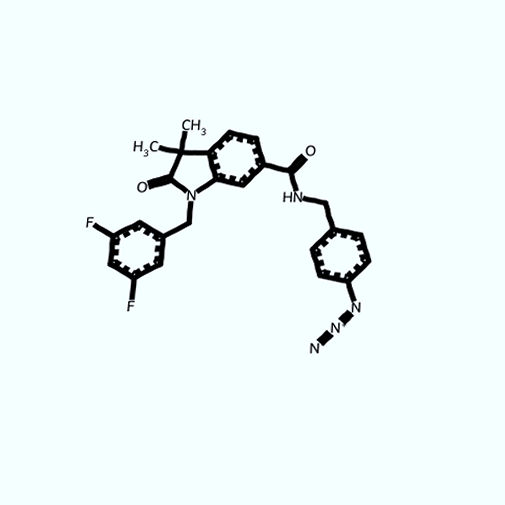 CC1(C)C(=O)N(Cc2cc(F)cc(F)c2)c2cc(C(=O)NCc3ccc(N=[N+]=[N-])cc3)ccc21